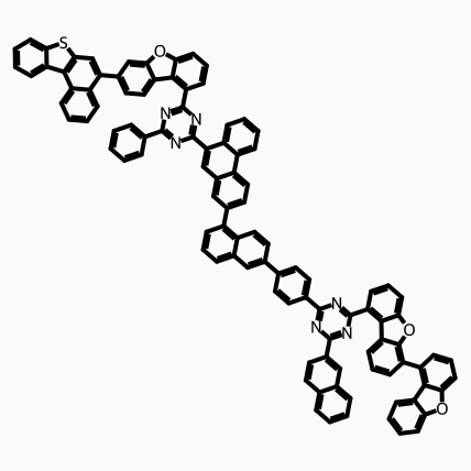 c1ccc(-c2nc(-c3cc4cc(-c5cccc6cc(-c7ccc(-c8nc(-c9ccc%10ccccc%10c9)nc(-c9cccc%10oc%11c(-c%12cccc%13oc%14ccccc%14c%12%13)cccc%11c9%10)n8)cc7)ccc56)ccc4c4ccccc34)nc(-c3cccc4oc5cc(-c6cc7sc8ccccc8c7c7ccccc67)ccc5c34)n2)cc1